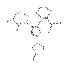 O=C(O)c1ccccc1-c1sc(N2CC[C@@H](F)C2)cc1-c1cccc(F)c1F